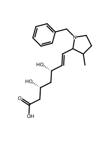 CC1CCN(Cc2ccccc2)C1C=C[C@@H](O)C[C@@H](O)CC(=O)O